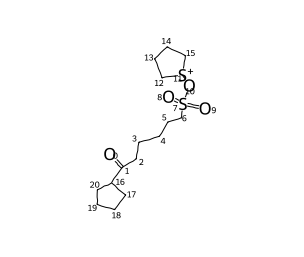 O=C(CCCCCS(=O)(=O)O[S+]1CCCC1)C1CCCC1